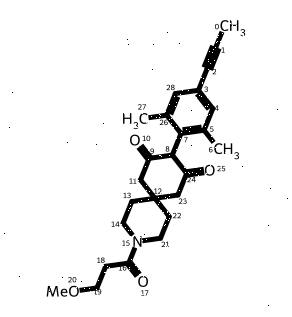 CC#Cc1cc(C)c(C2C(=O)CC3(CCN(C(=O)CCOC)CC3)CC2=O)c(C)c1